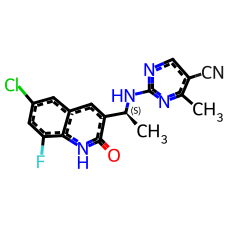 Cc1nc(N[C@@H](C)c2cc3cc(Cl)cc(F)c3[nH]c2=O)ncc1C#N